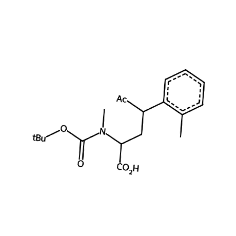 CC(=O)C(CC(C(=O)O)N(C)C(=O)OC(C)(C)C)c1ccccc1C